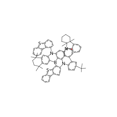 CC(C)(C)c1ccc(N2c3cc(N4c5ccccc5C5(C)CCCCC45C)cc4c3B(c3cc5c(cc3N4c3cccc4sc6ccccc6c34)C(C)(C)CCC5(C)C)c3c2ccc2c3sc3ccccc32)c(-c2ccccc2)c1